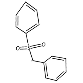 O=S(=O)([CH]c1ccccc1)c1ccccc1